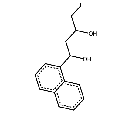 OC(CF)CC(O)c1cccc2ccccc12